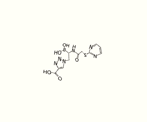 O=C(CSc1ncccn1)NC(Cn1cc(C(=O)O)nn1)B(O)O